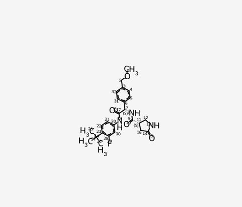 COCc1ccc([C@H](NC(=O)[C@@H]2CNC(=O)C2)C(=O)Nc2ccc(C(C)(C)C)c(F)c2)cc1